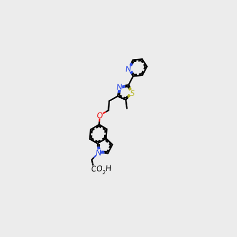 Cc1sc(-c2ccccn2)nc1CCOc1ccc2c(ccn2CC(=O)O)c1